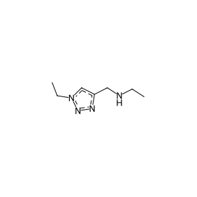 CCNCc1cn(CC)nn1